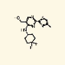 Cc1csc(-c2ncc(CO)c(NC3CCC(F)(F)CC3)n2)n1